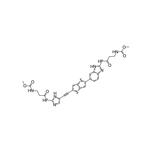 COC(=O)NCCC(=O)Pc1ncc(C#Cc2cc3sc(-c4ccc5nc(PC(=O)CCNC(=O)OC)[nH]c5c4)cc3s2)[nH]1